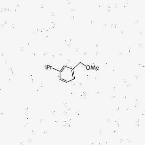 COCc1cccc(C(C)C)c1